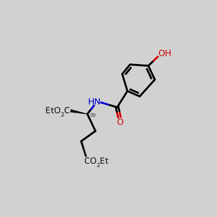 CCOC(=O)CC[C@H](NC(=O)c1ccc(O)cc1)C(=O)OCC